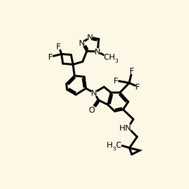 Cn1cnnc1CC1(c2cccc(N3Cc4c(cc(CNCC5(C)CC5)cc4C(F)(F)F)C3=O)c2)CC(F)(F)C1